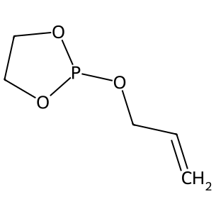 C=CCOP1OCCO1